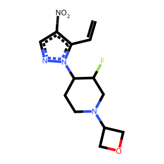 C=Cc1c([N+](=O)[O-])cnn1C1CCN(C2COC2)CC1F